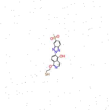 CS(=O)(=O)c1ccc2nn(-c3ccc4c(OCCS)nccc4c3O)nc2c1